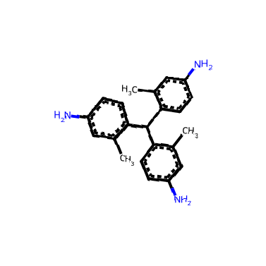 Cc1cc(N)ccc1C(c1ccc(N)cc1C)c1ccc(N)cc1C